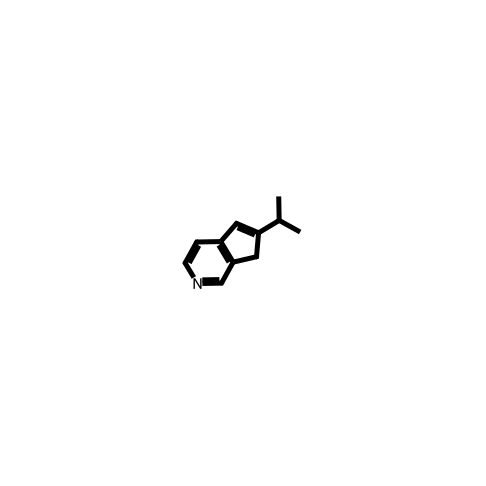 CC(C)C1=Cc2ccncc2C1